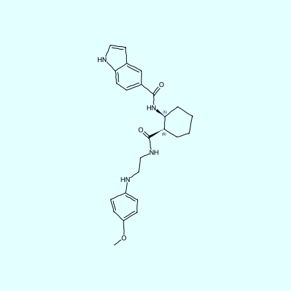 COc1ccc(NCCNC(=O)[C@@H]2CCCC[C@@H]2NC(=O)c2ccc3[nH]ccc3c2)cc1